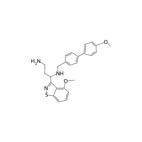 COc1ccc(-c2ccc(CNC(CCN)c3nsc4cccc(OC)c34)cc2)cc1